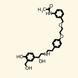 CC(=O)Nc1cccc(COCCOc2ccc(CCNC[C@H](O)c3ccc(O)c(CO)c3)cc2)c1